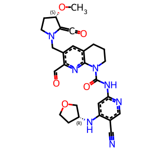 CO[C@H]1CCN(Cc2cc3c(nc2C=O)N(C(=O)Nc2cc(N[C@@H]4CCOC4)c(C#N)cn2)CCC3)C1=C=O